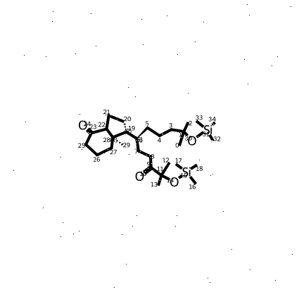 CC(C)(CCC[C@@H](CCC(=O)C(C)(C)O[Si](C)(C)C)[C@H]1CCC2C(=O)CCC[C@@]21C)O[Si](C)(C)C